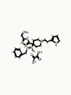 COCc1nnc(C2(N(OCc3ccccc3)C(C)=O)CCN(CCc3cccs3)CC2)o1.O=C(O)C(=O)O